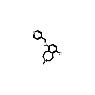 CN1CCc2c(Cl)ccc(OCc3ccncc3)c2CC1